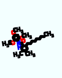 CCCCCCCCCC1CC(C)=C(C)CC1C(=O)Nc1c(OC)cc(OC)cc1OC